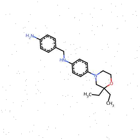 CCC1(CC)CN(c2ccc(NCc3ccc(N)cc3)cc2)CCO1